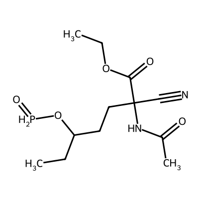 CCOC(=O)C(C#N)(CCC(CC)O[PH2]=O)NC(C)=O